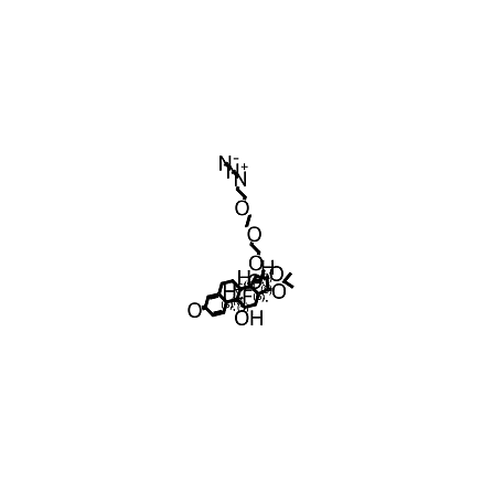 CC1(C)O[C@@H]2C[C@H]3[C@@H]4CCC5=CC(=O)C=C[C@]5(C)[C@@]4(F)[C@@H](O)C[C@]3(C)[C@]2(C(=O)COCCOCCOCCN=[N+]=[N-])O1